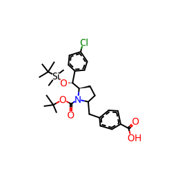 CC(C)(C)OC(=O)N1C(Cc2ccc(C(=O)O)cc2)CC[C@@H]1[C@H](O[Si](C)(C)C(C)(C)C)c1ccc(Cl)cc1